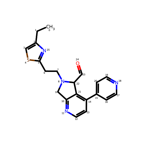 CCc1csc(CCN2Cc3nccc(-c4ccncc4)c3C2C=O)n1